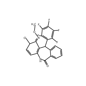 CON=C1C2=C(C=CC1Cl)NC(=O)c1ccccc1C2c1c(F)c(F)c(F)c(F)c1F